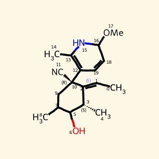 C/C=C1\[C@H](C)C(O)C(C)C[C@]1(C#N)C1=C(C)NC(OC)C=C1